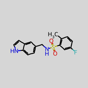 Cc1ccc(F)cc1S(=O)(=O)NCc1ccc2[nH]ccc2c1